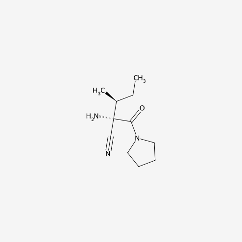 CC[C@H](C)[C@](N)(C#N)C(=O)N1CCCC1